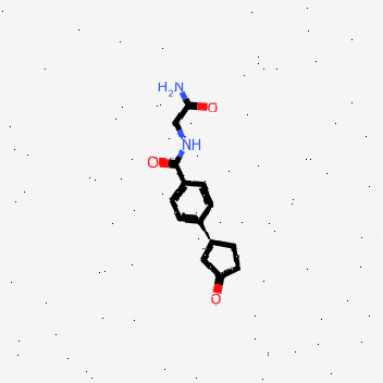 NC(=O)CNC(=O)c1ccc([C@H]2CCC(=O)C2)cc1